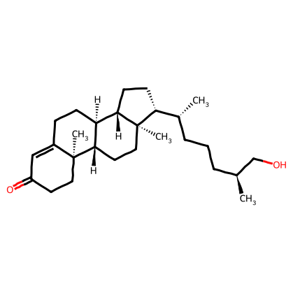 C[C@H](CO)CCC[C@@H](C)[C@H]1CC[C@H]2[C@@H]3CCC4=CC(=O)CC[C@]4(C)[C@H]3CC[C@]12C